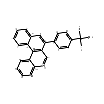 FC(F)(F)c1ccc(-c2cc3ccccc3c3c2cnc2ccccc23)cc1